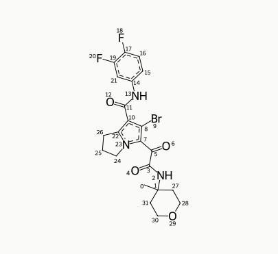 CC1(NC(=O)C(=O)c2c(Br)c(C(=O)Nc3ccc(F)c(F)c3)c3n2CCC3)CCOCC1